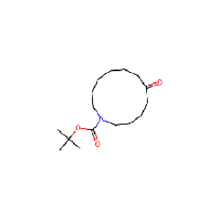 CC(C)(C)OC(=O)N1CCCCCCC(=O)CCCC1